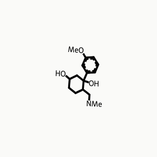 CNCC1CCC(O)CC1(O)c1cccc(OC)c1